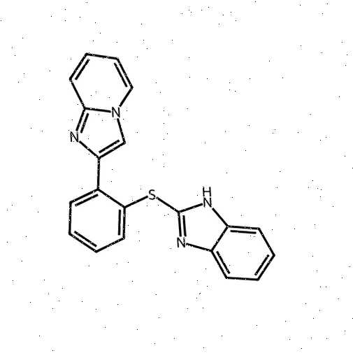 c1ccc(-c2cn3ccccc3n2)c(Sc2nc3ccccc3[nH]2)c1